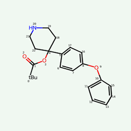 CC(C)(C)C(=O)OC1(c2ccc(Oc3ccccc3)cc2)CCNCC1